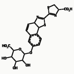 O=C(O)C1CSC(C2=NC3C=Cc4cc(OC5OC(C(=O)O)C(O)C(O)C5O)ccc4C3S2)=N1